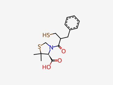 CC1(C)SCN(C(=O)C(CS)Cc2ccccc2)[C@H]1C(=O)O